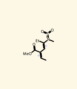 C/C=C(\C=C(/CC)N(C)[SH](=O)=O)C(=O)OC